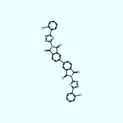 O=C1c2ccc(-c3ccc4c(c3)C(=O)N(c3nnc(-c5ccccc5Cl)o3)C4=O)cc2C(=O)N1c1nnc(-c2ccccc2Cl)o1